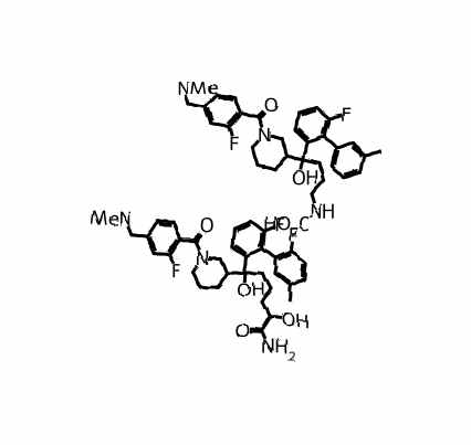 CNCc1ccc(C(=O)N2CCCC(C(O)(CCCC(O)C(N)=O)c3cccc(F)c3-c3cc(C)ccc3F)C2)c(F)c1.CNCc1ccc(C(=O)N2CCCC(C(O)(CCCNC(=O)O)c3cccc(F)c3-c3cccc(C)c3)C2)c(F)c1